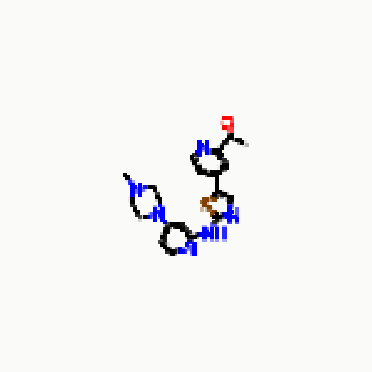 CC(=O)c1cc(-c2cnc(Nc3cc(N4CCN(C)CC4)ccn3)s2)ccn1